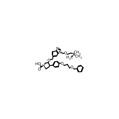 C[Si](C)(C)CCOCn1cnc2ccc(COC3CN(C(=O)O)CCC3c3ccc(OCCCOCc4ccccc4)cc3)cc21